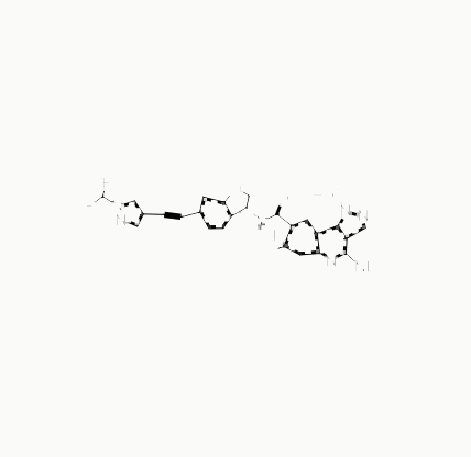 CN(C(=O)c1cc2c(cc1F)nc(N)c1cnn(C)c12)[C@@H]1COc2cc(C#Cc3cnn(C(F)F)c3)ccc21